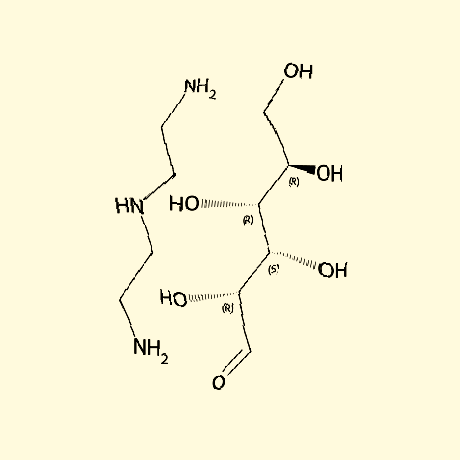 NCCNCCN.O=C[C@H](O)[C@@H](O)[C@H](O)[C@H](O)CO